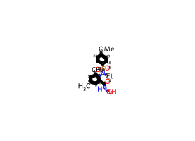 CCN(c1c(C)cc(C)cc1C(=O)NO)S(=O)(=O)c1ccc(OC)cc1